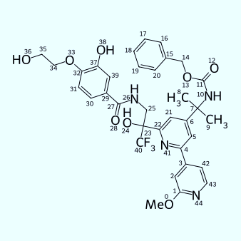 COc1cc(-c2cc(C(C)(C)NC(=O)OCc3ccccc3)cc(C(O)(CNC(=O)c3ccc(OCCO)c(O)c3)C(F)(F)F)n2)ccn1